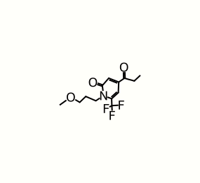 CCC(=O)c1cc(C(F)(F)F)n(CCCOC)c(=O)c1